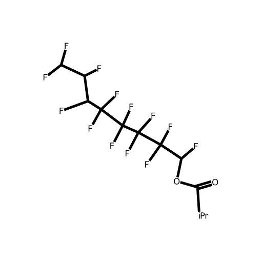 CC(C)C(=O)OC(F)C(F)(F)C(F)(F)C(F)(F)C(F)(F)C(F)C(F)C(F)F